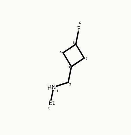 CCNCC1CC(F)C1